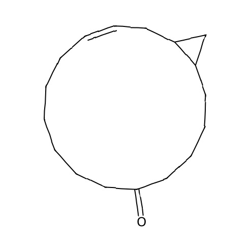 O=C1CCCCCCC=CCC2CC2CCCC1